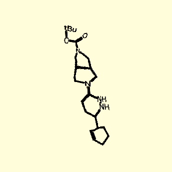 CC(C)(C)OC(=O)N1CC2CN(C3CCC(C4C=CCCC4)NN3)CC2C1